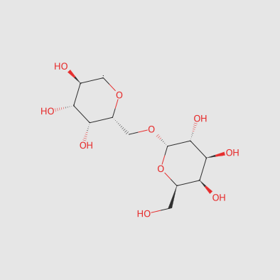 OC[C@H]1O[C@H](OC[C@H]2O[CH][C@H](O)[C@@H](O)[C@H]2O)[C@H](O)[C@@H](O)[C@H]1O